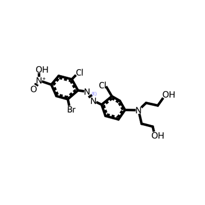 O=[N+](O)c1cc(Cl)c(/N=N/c2ccc(N(CCO)CCO)cc2Cl)c(Br)c1